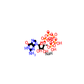 Nc1nc2c(ncn2[C@@H]2O[C@H](COP(=O)(O)OP(=O)(O)OP(=O)(O)OP(=O)(O)OP(=O)(O)O)[C@@H](O)[C@H]2O)c(=O)[nH]1.[NaH]